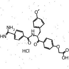 COc1ccc(C[C@H](NC(=O)c2ccc(C(=N)N)cc2)C(=O)c2ccc(OCC(=O)O)cc2)cc1.Cl